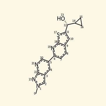 Cn1cc2cc(-c3ccc4cc([C@H](O)C5CC5)sc4n3)cnc2n1